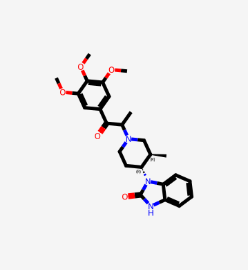 COc1cc(C(=O)C(C)N2CC[C@@H](n3c(=O)[nH]c4ccccc43)[C@H](C)C2)cc(OC)c1OC